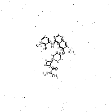 COc1cc2ncnc(Nc3cccc(Cl)c3F)c2cc1O[C@H]1CC[C@H](N2CC[C@@H]2C(=O)N(C)C)CC1